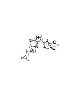 c1cc2c(cc1-c1cnc3ccc(NCC4CC4)nn13)OCO2